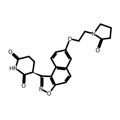 O=C1CC[C@@H](c2noc3ccc4cc(OCCN5CCCC5=O)ccc4c23)C(=O)N1